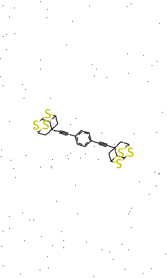 C(#CC12CC3SC(C1)SC(C2)S3)c1ccc(C#CC23CC4SC(C2)SC(C3)S4)cc1